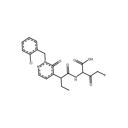 CCC(C(=O)NC(C(=O)O)C(=O)CF)c1ccnn(Cc2ccccc2Cl)c1=O